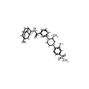 C[C@H]1CN(c2ccc(S(C)(=O)=O)cc2F)CCN1c1nccc(C(=O)NC2C3CC4CC2CC(O)(C4)C3)n1